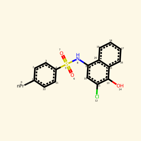 CCCc1ccc(S(=O)(=O)Nc2cc(Cl)c(O)c3ccccc23)cc1